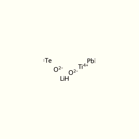 [LiH].[O-2].[O-2].[Pb].[Te].[Ti+4]